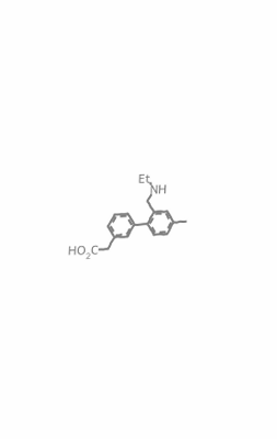 CCNCc1cc(C)ccc1-c1cccc(CC(=O)O)c1